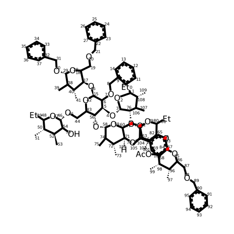 CCC1O[C@@H](O[C@@H]2C(OCc3ccccc3)[C@H](O[C@@H]3C(COCc4ccccc4)O[C@@H](OCc4ccccc4)C(C)[C@H]3C)OC(CO[C@H]3OC(CC)[C@@H](C)[C@H](C)C3O)[C@H]2O[C@@H]2OC3COC(c4ccccc4)O[C@H]3[C@H](C)C2C)[C@@H](O[C@@H]2OC(CC)[C@@H](O[C@@H]3OC(COCc4ccccc4)[C@H](C)[C@H](C)C3OC(C)=O)[C@H](C)C2C)C(C)[C@H]1C